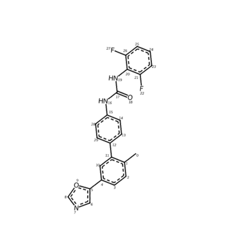 Cc1ccc(-c2cnco2)cc1-c1ccc(NC(=O)Nc2c(F)cccc2F)cc1